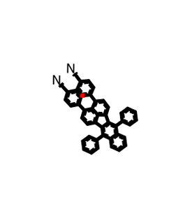 N#Cc1ccc(-c2ccc3c4c(ccc(-c5ccc(C#N)cc5)c24)-c2c-3c(-c3ccccc3)c3ccccc3c2-c2ccccc2)cc1